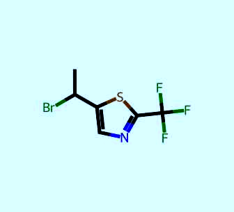 CC(Br)c1cnc(C(F)(F)F)s1